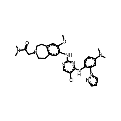 COc1cc2c(cc1Nc1ncc(Cl)c(Nc3ccc(N(C)C)cc3-n3cccn3)n1)CCN(CC(=O)N(C)C)CC2